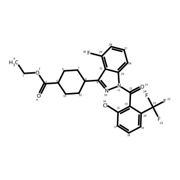 CCOC(=O)C1CCC(c2nn(C(=O)c3c(Cl)cccc3C(F)(F)F)c3cccc(F)c23)CC1